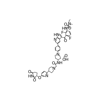 CCN(C)S(=O)(=O)Nc1ccc(F)c(C(=O)c2c[nH]c3ncc(-c4ccc(N5CCC(NC(=O)CN6CCC(c7ccc(OC8CCC(=O)NC8=O)cn7)CC6)CC5)cc4)cc23)c1F.O=CO